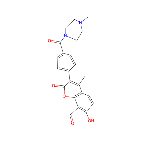 Cc1c(-c2ccc(C(=O)N3CCN(C)CC3)cc2)c(=O)oc2c(C=O)c(O)ccc12